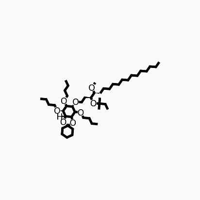 CCCCCCCCCCCCCC[C@@H](OC)[C@H](CCO[C@H]1C(OCCCC)C2OC3(CCCCC3)O[C@@H]2[C@H](OCCCC)C1OCCCC)OC(C)(C)CC